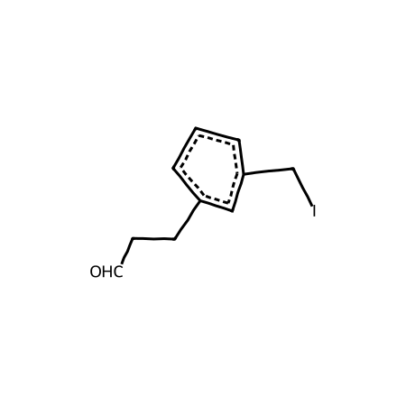 O=CCCc1cccc(CI)c1